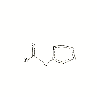 CC(C)C(=O)Oc1cc[c]nc1